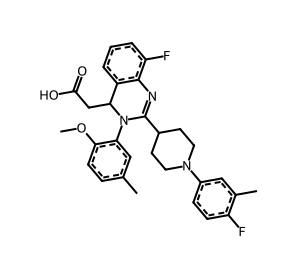 COc1ccc(C)cc1N1C(C2CCN(c3ccc(F)c(C)c3)CC2)=Nc2c(F)cccc2C1CC(=O)O